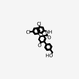 O=C1C[C@@H](c2cccc(Cl)c2)[C@@]2(C=C1c1ccc(CO)cc1)C(=O)Nc1cc(Cl)ccc12